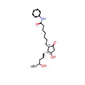 CCCCC(O)C/C=C/[C@H]1[C@H](O)CC(=O)[C@@H]1CCCCCCC(=O)Nc1ccccc1